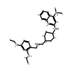 CCOc1ccc(CNCC2CCC(Nc3cc(N(C)C)c4ccccc4n3)CC2)c(OCC)c1